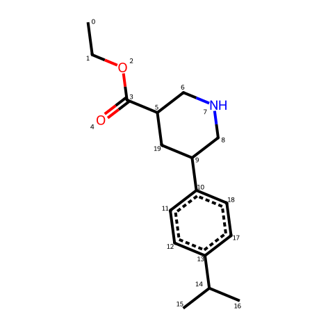 CCOC(=O)C1CNCC(c2ccc(C(C)C)cc2)C1